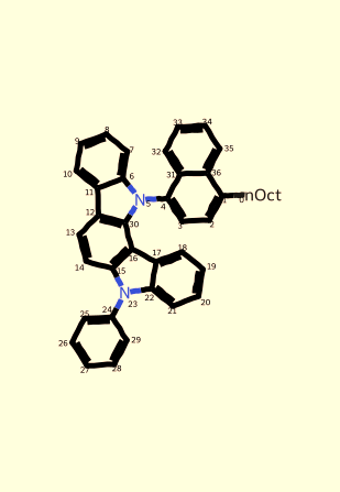 CCCCCCCCc1ccc(-n2c3ccccc3c3ccc4c(c5ccccc5n4-c4ccccc4)c32)c2ccccc12